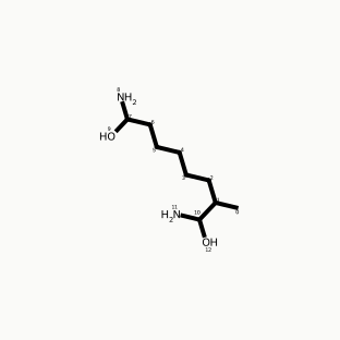 CC(CCCCCC(N)O)C(N)O